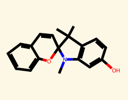 CN1c2cc(O)ccc2C(C)(C)C12C=Cc1ccccc1O2